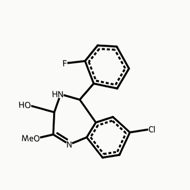 COC1=Nc2ccc(Cl)cc2C(c2ccccc2F)NC1O